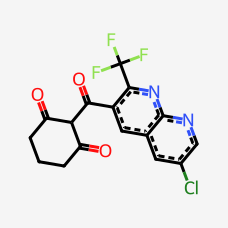 O=C1CCCC(=O)C1C(=O)c1cc2cc(Cl)cnc2nc1C(F)(F)F